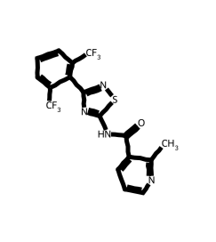 Cc1ncccc1C(=O)Nc1nc(-c2c(C(F)(F)F)cccc2C(F)(F)F)ns1